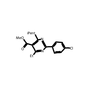 CCCC(C)c1nc(-c2ccc(Cl)cc2)nc(CC)c1C(=O)OC